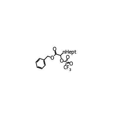 CCCCCCCC(OS(=O)(=O)C(F)(F)F)C(=O)OCc1ccccc1